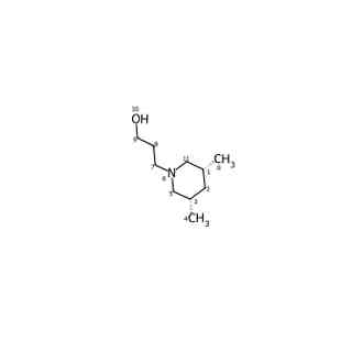 C[C@@H]1C[C@H](C)CN(CCCO)C1